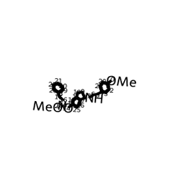 COc1ccc(CCNC2CCc3cc(ON(CCc4ccccc4)OC)ccc32)cc1